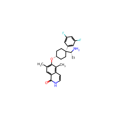 CC[C@@H](N)[C@]1(c2cc(F)cc(F)c2)CC[C@@H](Oc2c(C)cc3c(=O)[nH]ccc3c2C)CC1